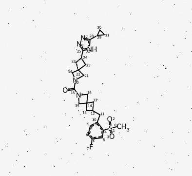 CS(=O)(=O)c1cc(F)ccc1CC1CC2(C1)CN(C(=O)N1CC3(CC(c4nnc(C5CC5)[nH]4)C3)C1)C2